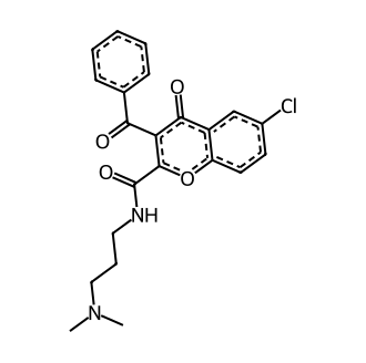 CN(C)CCCNC(=O)c1oc2ccc(Cl)cc2c(=O)c1C(=O)c1ccccc1